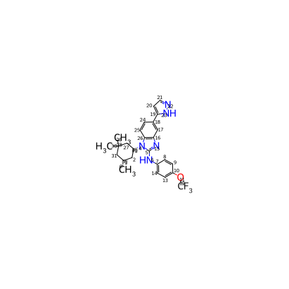 C[C@H]1C[C@@H](n2c(Nc3ccc(OC(F)(F)F)cc3)nc3cc(-c4ccn[nH]4)ccc32)CC(C)(C)C1